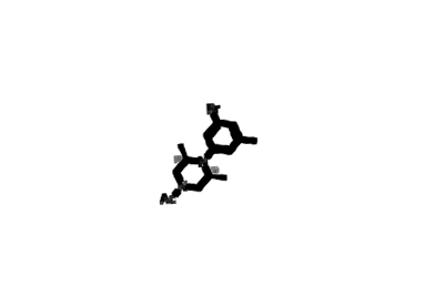 CC(=O)N1C[C@@H](C)N(c2cc(C)cc(Br)c2)[C@@H](C)C1